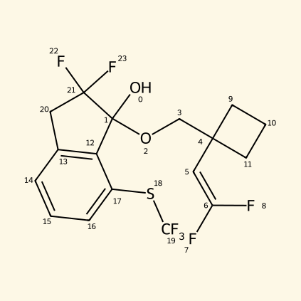 OC1(OCC2(C=C(F)F)CCC2)c2c(cccc2SC(F)(F)F)CC1(F)F